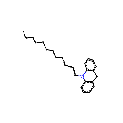 CCCCCCCCCCCCN1c2ccccc2Cc2ccccc21